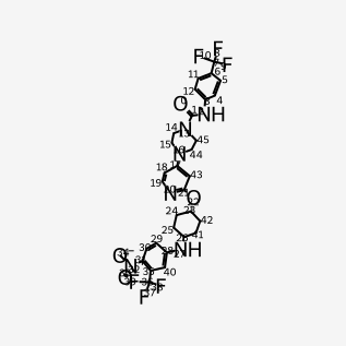 O=C(Nc1ccc(C(F)(F)F)cc1)N1CCN(c2ccnc(O[C@H]3CC[C@H](Nc4ccc([N+](=O)[O-])c(C(F)(F)F)c4)CC3)c2)CC1